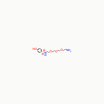 NCCOCCOCCOCCNS(=O)(=O)c1ccc(O)cc1